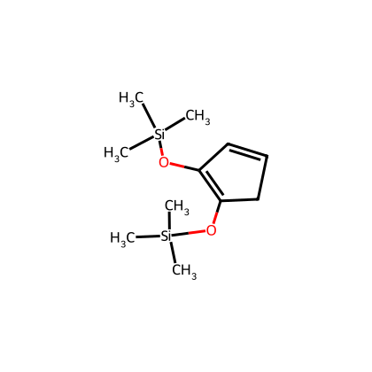 C[Si](C)(C)OC1=C(O[Si](C)(C)C)CC=C1